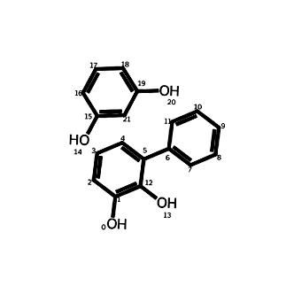 Oc1cccc(-c2ccccc2)c1O.Oc1cccc(O)c1